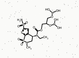 CCN(C(=O)OCC(CON(O)O)ON(O)O)[C@H]1CN(C)S(=O)(=O)c2sc(S(N)(=O)=O)cc21